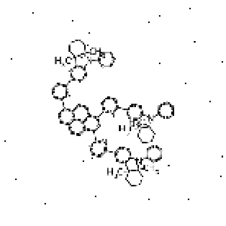 CC12CCCCC1(C)N(c1ccccc1)c1ccc(-c3cccc(-c4ccc5ccc6c(-c7cccc(-c8ccc9c(c8)C8(C)CCCCC8(C)N9c8ccccc8)n7)cc(-c7cccc(-c8ccc9c(c8)C8(C)CCCCC8(C)N9c8ccccc8)n7)c7ccc4c5c67)n3)cc12